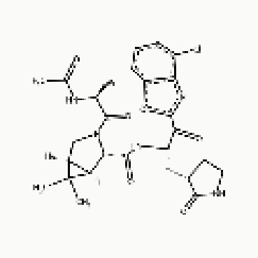 CC(C)[C@H](NC(=O)C(F)(F)F)C(=O)N1C[C@H]2[C@@H]([C@H]1C(=O)N[C@@H](C[C@@H]1CCNC1=O)C(=O)c1nc3c(Cl)cccc3o1)C2(C)C